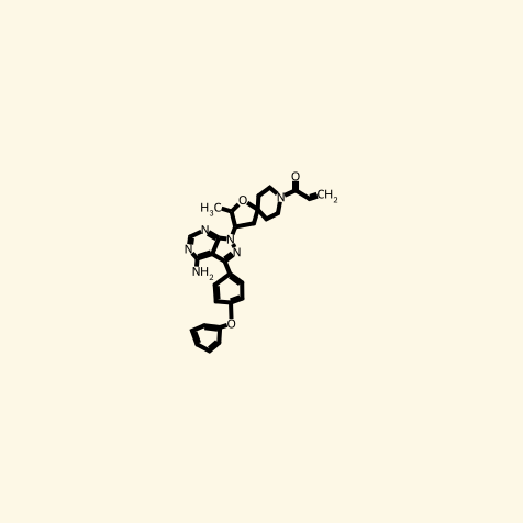 C=CC(=O)N1CCC2(CC1)CC(n1nc(-c3ccc(Oc4ccccc4)cc3)c3c(N)ncnc31)C(C)O2